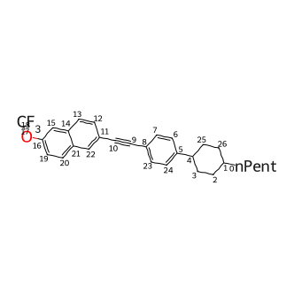 CCCCCC1CCC(c2ccc(C#Cc3ccc4cc(OC(F)(F)F)ccc4c3)cc2)CC1